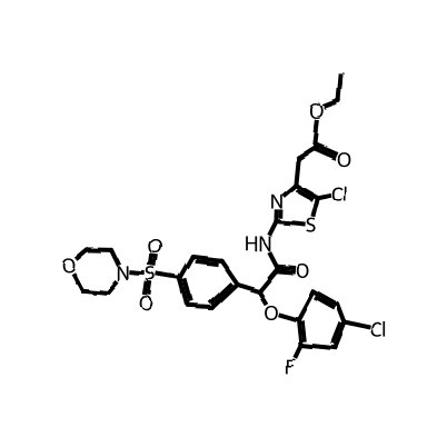 CCOC(=O)Cc1nc(NC(=O)C(Oc2ccc(Cl)cc2F)c2ccc(S(=O)(=O)N3CCOCC3)cc2)sc1Cl